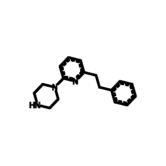 c1ccc(CCc2cccc(N3CCNCC3)n2)cc1